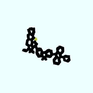 C=CC1=C(/C=C\C)c2c(c(-c3ccc4c(c3)-c3ccc(-c5c6ccccc6c(-c6ccccc6)c6ccccc56)cc3C4(C)C)cc3sc4c5ccccc5ccc4c23)C1(C)C